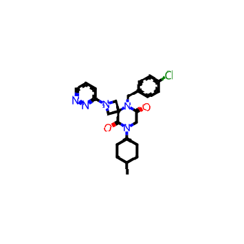 CC1CCC(N2CC(=O)N(Cc3ccc(Cl)cc3)C3(CN(c4cccnn4)C3)C2=O)CC1